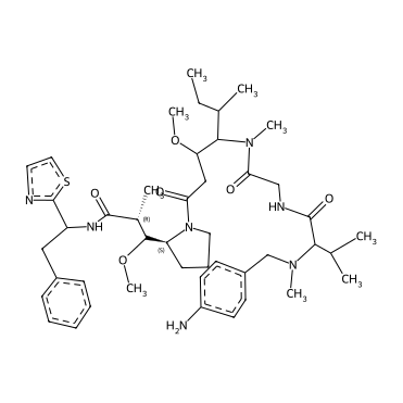 CCC(C)C(C(CC(=O)N1CCC[C@H]1C(OC)[C@@H](C)C(=O)NC(Cc1ccccc1)c1nccs1)OC)N(C)C(=O)CNC(=O)C(C(C)C)N(C)Cc1ccc(N)cc1